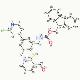 Cc1cc(-c2ccnc(F)c2)cc(CNC(=O)OCC2c3ccccc3-c3ccccc32)c1Sc1ncccc1C=O